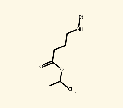 CCNCCCC(=O)OC(C)I